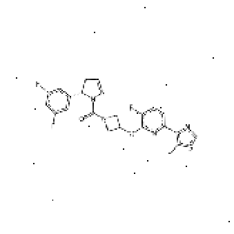 Cc1scnc1-c1ccc(F)c(OC2CN(C(=O)N3N=CC[C@H]3c3cc(F)cc(F)c3)C2)n1